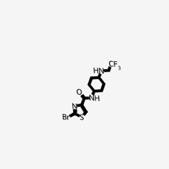 O=C(NC1CCC(NCC(F)(F)F)CC1)c1csc(Br)n1